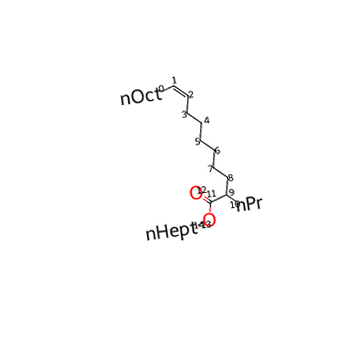 CCCCCCCC/C=C\CCCCCCC(CCC)C(=O)OCCCCCCC